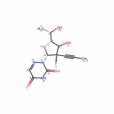 CC#C[C@@]1(F)C(O)[C@@H]([C@H](C)O)O[C@H]1n1ncc(=O)[nH]c1=O